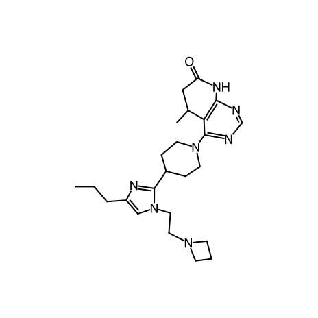 CCCc1cn(CCN2CCC2)c(C2CCN(c3ncnc4c3C(C)CC(=O)N4)CC2)n1